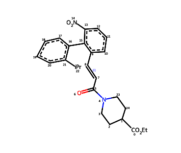 CCOC(=O)C1CCN(C(=O)/C=C/c2cc[c]c([N+](=O)[O-])c2-c2ccccc2C(C)C)CC1